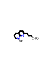 CC(=O)N1CCCc2ccc(CCCC=O)nc21